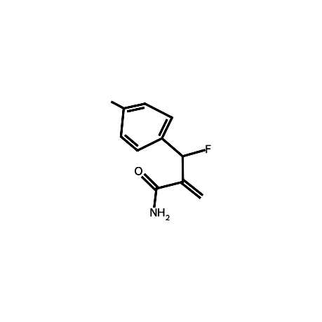 C=C(C(N)=O)C(F)c1ccc(C)cc1